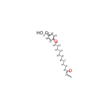 C=CC(=O)CCCCCCCCCCCOc1ccc(C(=O)O)cc1